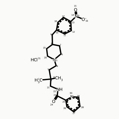 CC(C)(CCN1CCC(Cc2ccc([N+](=O)[O-])cc2)CC1)CNC(=O)c1ccccn1.Cl